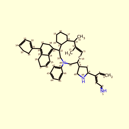 C=C/C(=C\C=N)C1CC(C2C/C=C(\C)C(C)C3CCCCC3C(C3=C4C=CCCC4=C(C4=CC=CCC4)CC3)CN(c3ccccc3)C2)CN1